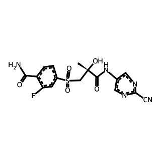 C[C@](O)(CS(=O)(=O)c1ccc(C(N)=O)c(F)c1)C(=O)Nc1cnc(C#N)nc1